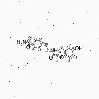 Cc1c(C)c2c(c(C)c1O)CCC(C)(C(=O)NCCc1ccc(S(N)(=O)=O)cc1)O2